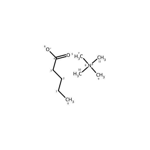 CCCCC(=O)[O-].C[N+](C)(C)C